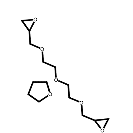 C(COCC1CO1)OCCOCC1CO1.C1CCOC1